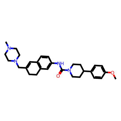 COc1ccc(C2CCN(C(=O)Nc3ccc4c(c3)CCC(CN3CCN(C)CC3)=C4)CC2)cc1